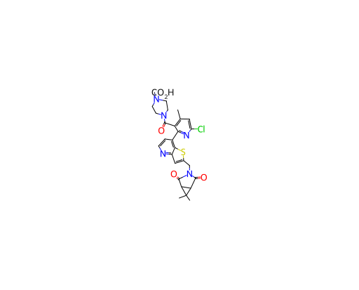 Cc1cc(Cl)nc(-c2ccnc3cc(CN4C(=O)C5C(C4=O)C5(C)C)sc23)c1C(=O)N1CCN(C(=O)O)CC1